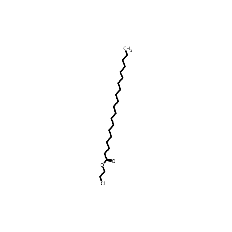 CCCCCCCCCCCCCCCCCCCC(=O)OCCCl